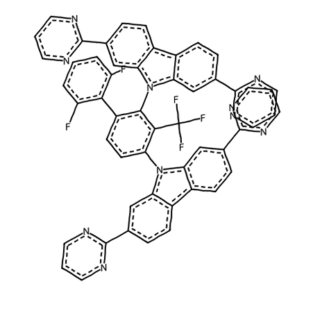 Fc1cccc(F)c1-c1ccc(-n2c3cc(-c4ncccn4)ccc3c3ccc(-c4ncccn4)cc32)c(C(F)(F)F)c1-n1c2cc(-c3ncccn3)ccc2c2ccc(-c3ncccn3)cc21